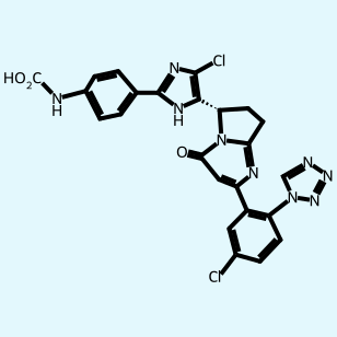 O=C(O)Nc1ccc(-c2nc(Cl)c([C@@H]3CCc4nc(-c5cc(Cl)ccc5-n5cnnn5)cc(=O)n43)[nH]2)cc1